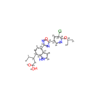 CCC(CC(=O)O)c1ccc(-c2noc(-c3cnc(OC(C)C)c(Cl)c3)n2)c2cc[nH]c12